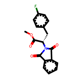 COC(=O)[C@H](Cc1ccc(F)cc1)N1C(=O)c2ccccc2C1=O